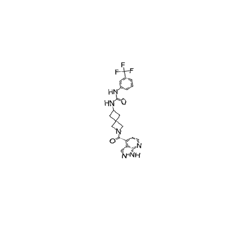 O=C(Nc1cccc(C(F)(F)F)c1)NC1CC2(C1)CN(C(=O)c1ccnc3[nH]ncc13)C2